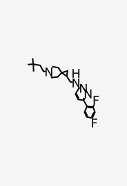 CC(C)(C)CCN1CCC2(CC1)CC2CNc1ccc(-c2ccc(F)cc2F)nn1